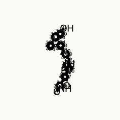 O=C1CCC(c2ccc(N3CC[C@@H]4[C@H]3CCN4CC3CCN(c4ccc([C@@H]5c6ccc(O)cc6CC[C@@H]5c5ccccc5)cc4)CC3)cc2)C(=O)N1